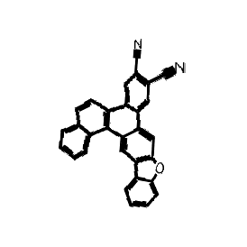 N#Cc1cc2c(cc1C#N)c1ccc3ccccc3c1c1cc3c(cc21)oc1ccccc13